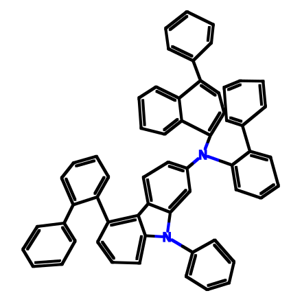 c1ccc(-c2ccccc2-c2cccc3c2c2ccc(N(c4ccccc4-c4ccccc4)c4ccc(-c5ccccc5)c5ccccc45)cc2n3-c2ccccc2)cc1